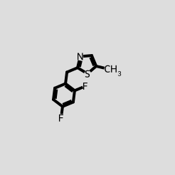 Cc1cnc(Cc2ccc(F)cc2F)s1